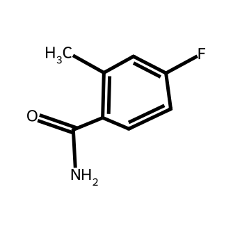 Cc1cc(F)ccc1C(N)=O